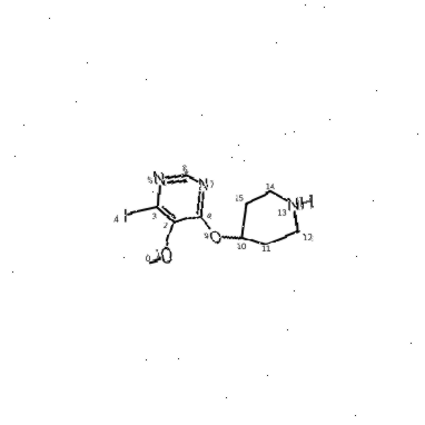 COc1c(I)ncnc1OC1CCNCC1